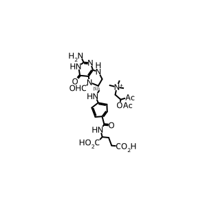 CC(=O)OC(C[N+](C)(C)C)C(C)=O.Nc1nc2c(c(=O)[nH]1)N(C=O)[C@@H](CNc1ccc(C(=O)NC(CCC(=O)O)C(=O)O)cc1)CN2